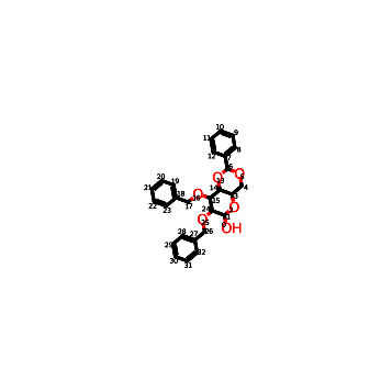 OC1OC2COC(c3ccccc3)OC2C(OCc2ccccc2)C1OCc1ccccc1